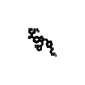 CCOc1ccc(Cc2nc3cc(C(=O)N(CC)CC)ccc3n2C[C@H]2CCCN2)cc1